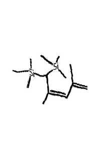 C=C(C)C=C(C)C([Si](C)(C)C)[Si](C)(C)C